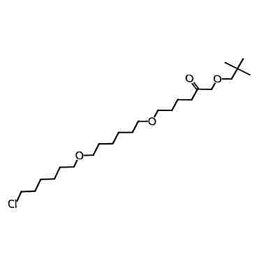 CC(C)(C)COCC(=O)CCCCOCCCCCCOCCCCCCCl